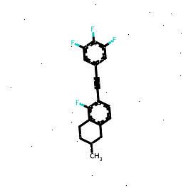 CC1CCc2c(ccc(C#Cc3cc(F)c(F)c(F)c3)c2F)C1